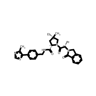 CC[C@@]1(C)C[C@@H](C(=O)NCc2ccc(-c3scnc3C)cc2)N(C(=O)[C@H](C(C)C)N2Cc3ccccc3C2=O)C1